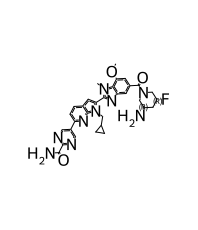 COc1cc(C(=O)N2C[C@H](N)C[C@@H](F)C2)cc2nc(-c3cc4ccc(-c5cnc(C(N)=O)nc5)nc4n3CC3CC3)n(C)c12